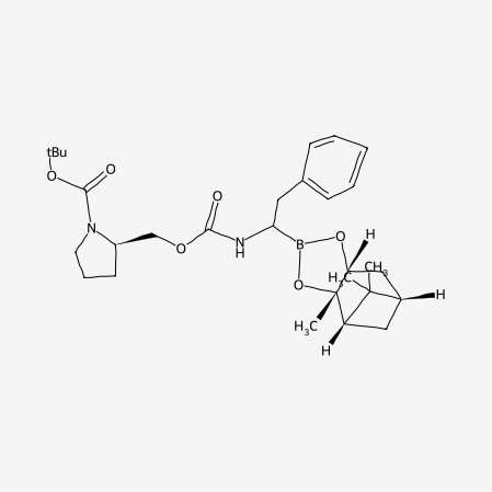 CC(C)(C)OC(=O)N1CCC[C@@H]1COC(=O)NC(Cc1ccccc1)B1O[C@@H]2C[C@@H]3C[C@@H](C3(C)C)[C@]2(C)O1